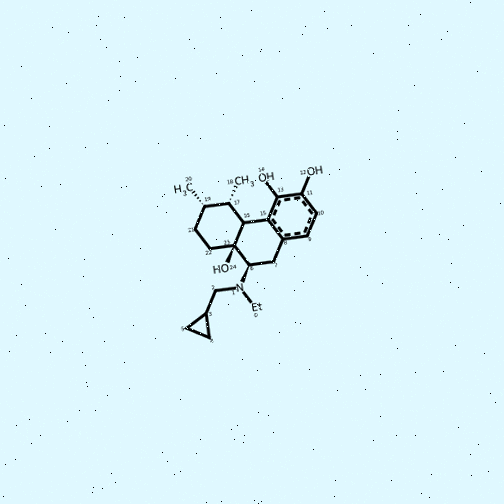 CCN(CC1CC1)[C@@H]1Cc2ccc(O)c(O)c2C2[C@@H](C)[C@@H](C)CC[C@]21O